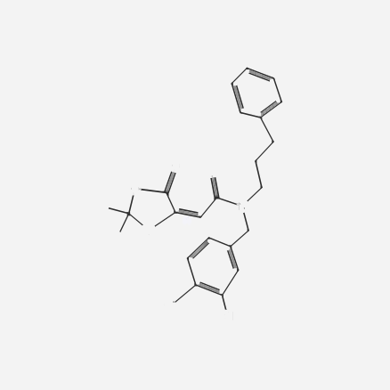 CC1(C)OC(=O)/C(=C\C(=O)N(CCCc2ccccc2)Cc2ccc(Cl)c(Cl)c2)O1